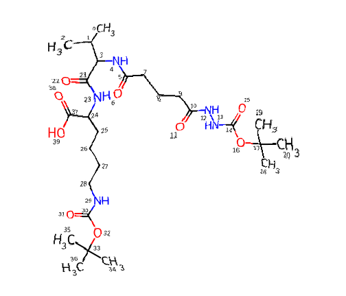 CC(C)C(NC(=O)CCCC(=O)NNC(=O)OC(C)(C)C)C(=O)NC(CCCCNC(=O)OC(C)(C)C)C(=O)O